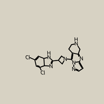 ClC1=CC2NC(C3CN(c4c5c(nc6ccnn46)CNCC5)C3)=NC2C(Cl)=C1